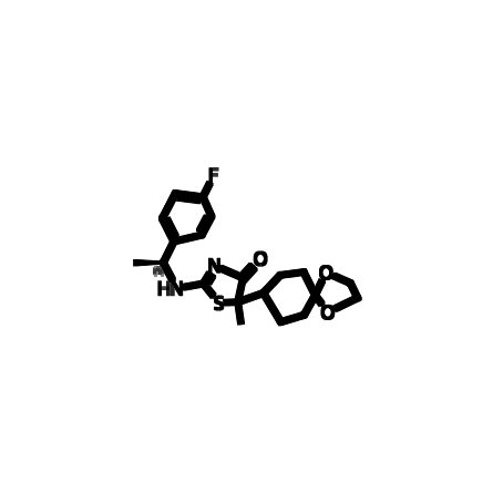 C[C@H](NC1=NC(=O)C(C)(C2CCC3(CC2)OCCO3)S1)c1ccc(F)cc1